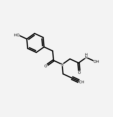 C#CCN(CC(=O)NO)C(=O)Cc1ccc(O)cc1